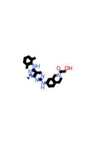 Cc1cccc(C)c1Nc1nn(C)c2nc(Nc3ccc4c(c3)CN(C(=O)CO)CC4)ncc12